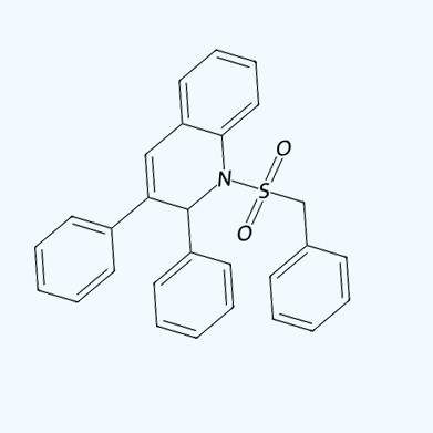 O=S(=O)(Cc1ccccc1)N1c2ccccc2C=C(c2ccccc2)C1c1ccccc1